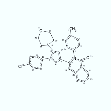 Cc1ccc(-n2c(-c3cc(-c4ccc(Cl)cc4)c(N4CCOCC4)s3)nc3ccccc3c2=O)cc1